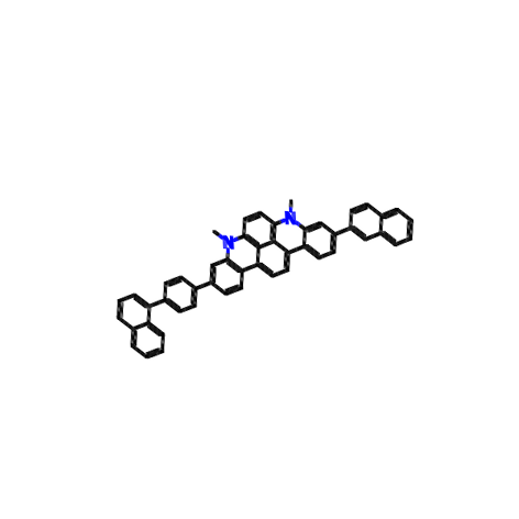 CN1c2cc(-c3ccc(-c4cccc5ccccc45)cc3)ccc2-c2ccc3c4c(ccc1c24)N(C)c1cc(-c2ccc4ccccc4c2)ccc1-3